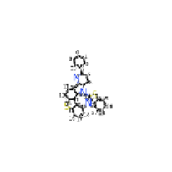 c1ccc(-c2ccc3c(n2)c2ccc4sc5ccccc5c4c2n3-c2nc3ccccc3s2)cc1